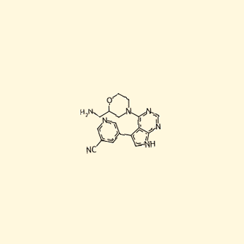 N#Cc1cncc(-c2c[nH]c3ncnc(N4CCOC(CN)C4)c23)c1